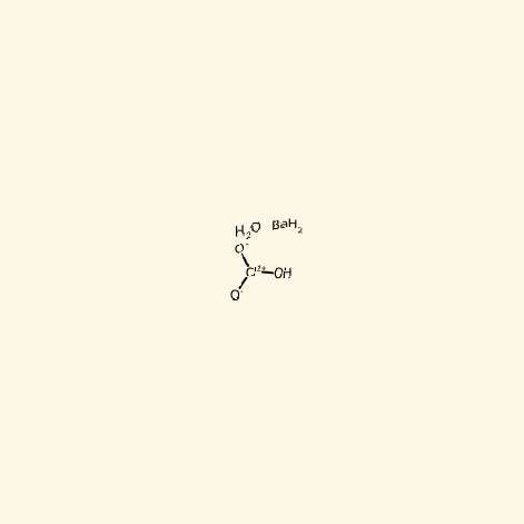 O.[BaH2].[O-][Cl+2]([O-])O